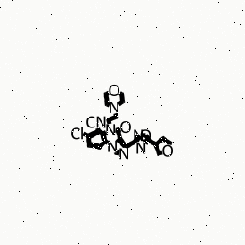 N#Cc1c(Cl)ccc2c1n(CCN1CCOCC1)c(=O)c1c(-c3noc(C4CCOC4)n3)ncn12